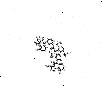 COc1ccc([N+](=O)[O-])cc1N(C(=O)Cc1cccc(-n2c(=O)c3c(C)onc3c3c(Cl)cccc32)n1)C(C(=O)O)c1cccc(-n2c(=O)c3c(C)onc3c3c(Cl)cccc32)n1